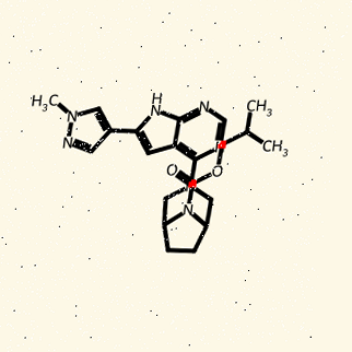 CC(C)COC(=O)N1C2CCC1CN(c1ncnc3[nH]c(-c4cnn(C)c4)cc13)C2